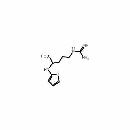 N=C(N)NCCCC(Nc1ccco1)C(=O)O